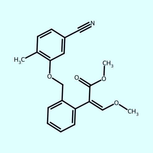 COC=C(C(=O)OC)c1ccccc1COc1cc(C#N)ccc1C